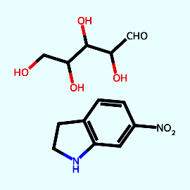 O=CC(O)C(O)C(O)CO.O=[N+]([O-])c1ccc2c(c1)NCC2